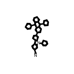 N#Cc1ccc2c3ccc(-c4ccc5c(-c6ccccc6)c6ccccc6c(-c6ccccc6)c5c4)cc3n(-c3ccccc3)c2c1